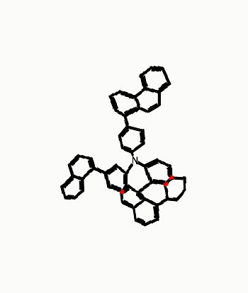 c1cc(-c2cccc3ccccc23)cc(N(c2ccc(-c3cccc4c3ccc3ccccc34)cc2)c2ccccc2-c2cccc3cccc(C4CCCCC4)c23)c1